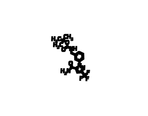 CC(C)(C)OC(=O)NCc1cccc(-n2nc(C(F)(F)F)cc2C(N)=O)c1